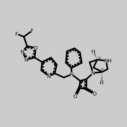 O=c1c(N(Cc2ccc(-c3nnc(C(F)F)o3)cn2)c2ccccc2)c(N2C[C@@H]3C[C@H]2CN3)c1=O